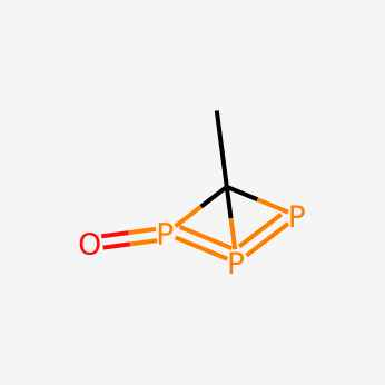 CC12P=P1=P2=O